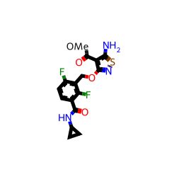 COC(=O)c1c(OCc2c(F)ccc(C(=O)NC3CC3)c2F)nsc1N